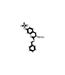 CC(=O)N[C@@H](Cc1ccc(OS(C)(=O)=O)cc1)C(=O)OCc1ccccc1